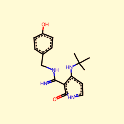 CC(C)(C)Nc1cc[nH]c(=O)c1C(=N)NCc1ccc(O)cc1